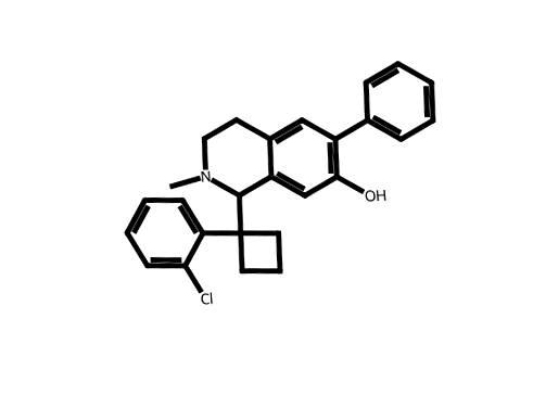 CN1CCc2cc(-c3ccccc3)c(O)cc2C1C1(c2ccccc2Cl)CCC1